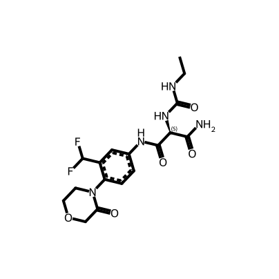 CCNC(=O)N[C@@H](C(N)=O)C(=O)Nc1ccc(N2CCOCC2=O)c(C(F)F)c1